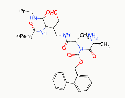 CCCCCC(=O)NC(C(=O)NCC(C)C)C(CO)CNC(=O)[C@H](C)N(C(=O)OCc1ccccc1-c1ccccc1)C(=O)[C@H](C)N